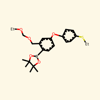 CCOCOCc1cc(Oc2ccc(SCC)cc2)ccc1B1OC(C)(C)C(C)(C)O1